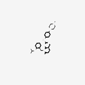 CC(C)Oc1ccccc1Cn1c(=O)ccc2cnc(Nc3ccc(N4CCN(C)CC4)cc3)nc21